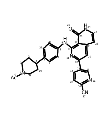 CC(=O)N1CCC(c2ccc(Nc3nc(-c4ccc(C#N)nc4)cc4cc[nH]c(=O)c34)cc2)CC1